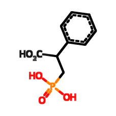 O=C(O)C(CP(=O)(O)O)c1ccccc1